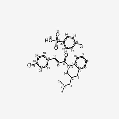 CN(C)CC1Cc2ccccc2N(C(=O)C=Cc2ccc(Cl)cc2)C1.Cc1ccc(S(=O)(=O)O)cc1